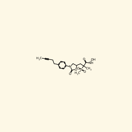 CC#CCCc1ccc(N2CC(CC(C)(C(=O)NO)S(C)(=O)=O)OC2=O)cc1